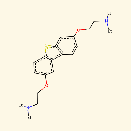 CCN(CC)CCOc1ccc2c(c1)sc1ccc(OCCN(CC)CC)cc12